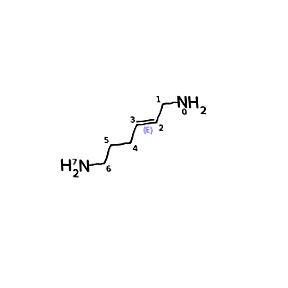 NC/C=C/CCCN